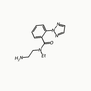 CCN(CCN)C(=O)c1ccccc1-n1nccn1